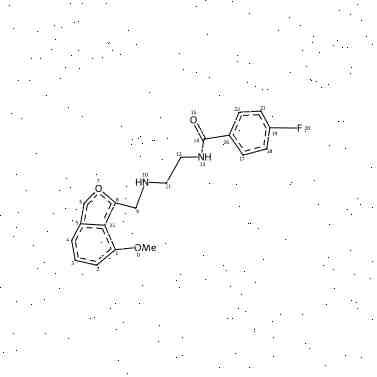 COc1cccc2coc(CNCCNC(=O)c3ccc(F)cc3)c12